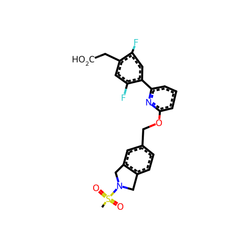 CS(=O)(=O)N1Cc2ccc(COc3cccc(-c4cc(F)c(CC(=O)O)cc4F)n3)cc2C1